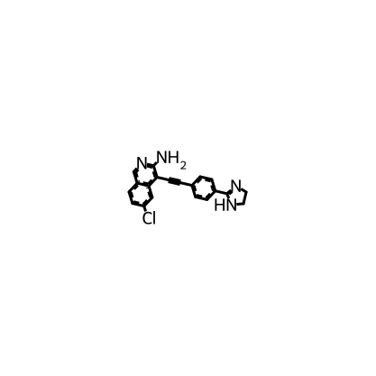 Nc1ncc2ccc(Cl)cc2c1C#Cc1ccc(C2=NCCN2)cc1